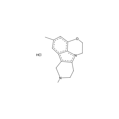 Cc1cc2c3c(c1)c1c(n3CCO2)CCN(C)C1.Cl